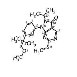 COCC(C)(C)c1cccc(-n2c3nc(SC)ncc3c(=O)n2C(C)C)n1